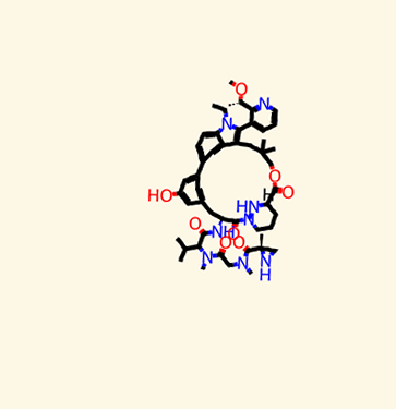 CCn1c(-c2cccnc2[C@H](C)OC)c2c3cc(ccc31)-c1cc(O)cc(c1)C[C@H](NC(=O)C(C(C)C)N(C)C(=O)CN(C)C(=O)[C@]1(C)CN1)C(=O)N1CCC[C@H](N1)C(=O)OCC(C)(C)C2